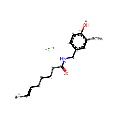 COc1cc(CNC(=O)CCCCC=CC(C)C)ccc1O.Cl